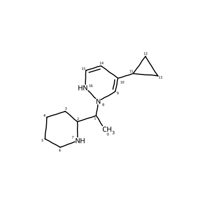 CC(C1CCCCN1)N1C=C(C2CC2)C=CN1